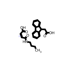 CCCCNC(=O)/C=C\C(=O)O.O=C(O)CC1c2ccccc2-c2ccccc21